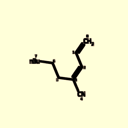 C=CC=C(C#N)CCCCCC